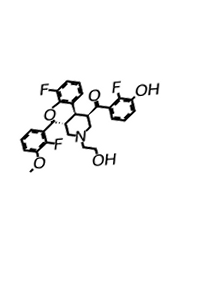 COc1cccc(C(=O)[C@H]2CN(CCO)C[C@H](C(=O)c3cccc(O)c3F)[C@@H]2c2cccc(F)c2C)c1F